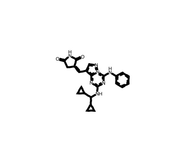 O=C1CC(=Cc2cnn3c(Nc4ccccc4)nc(NC(C4CC4)C4CC4)nc23)C(=O)N1